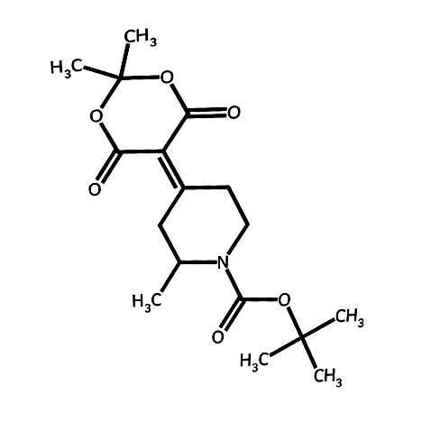 CC1CC(=C2C(=O)OC(C)(C)OC2=O)CCN1C(=O)OC(C)(C)C